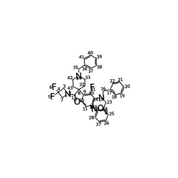 O=C(N1CC(F)(F)C1)C1(c2ccc([N+](=O)[O-])c(N(Cc3ccccc3)Cc3ccccc3)c2F)CCN(Cc2ccccc2)CC1